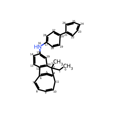 CCC1(C)C2=C=C(/C=C\C=C/C2)c2ccc(Nc3ccc(-c4ccccc4)cc3)cc21